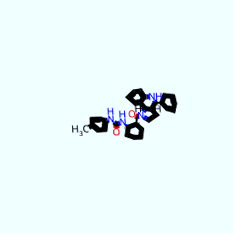 Cc1ccc(NC(=O)N[C@@H]2CCCC[C@@H]2C(=O)N2CC[C@@H]3[C@H](C4C=CC=CC4)Nc4ccccc4[C@@H]32)cc1